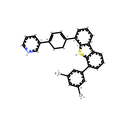 FC(F)(F)c1cc(-c2cccc3c2sc2c(C4=CC=C(c5cccnc5)CC4)cccc23)cc(C(F)(F)F)c1